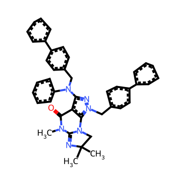 CN1C(=O)c2c(N(Cc3ccc(-c4ccccc4)cc3)c3ccccc3)nn(Cc3ccc(-c4ccccc4)cc3)c2N2CC(C)(C)N=C12